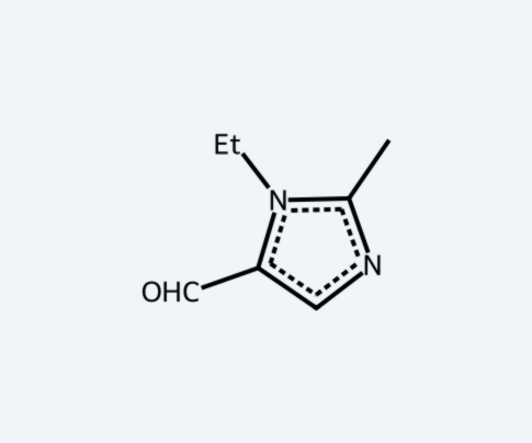 CCn1c(C=O)cnc1C